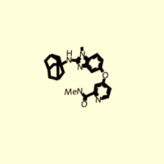 CNC(=O)c1cc(Oc2ccc3c(c2)nc(NC24CC5CC(CC(C5)C2)C4)n3C)ccn1